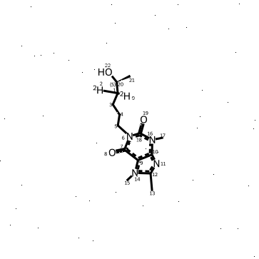 [2H]C([2H])(CCCn1c(=O)c2c(nc(C)n2C)n(C)c1=O)[C@H](C)O